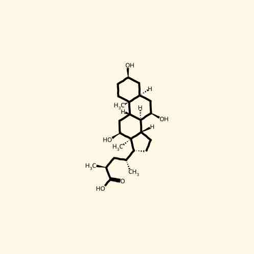 C[C@H](C[C@H](C)C(=O)O)[C@H]1CC[C@H]2[C@@H]3[C@H](O)C[C@@H]4C[C@H](O)CC[C@]4(C)[C@H]3C[C@H](O)[C@]12C